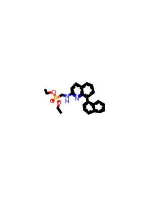 CCOP(=O)(CNc1ccc2cccc(-c3cccc4ccccc34)c2n1)OCC